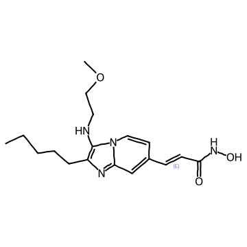 CCCCCc1nc2cc(/C=C/C(=O)NO)ccn2c1NCCOC